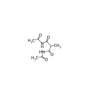 C[C](C(=O)NC(C)=O)C(=O)NC(C)=O